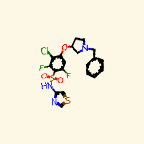 O=S(=O)(Nc1cscn1)c1c(F)cc(OC2CCN(Cc3ccccc3)C2)c(Cl)c1F